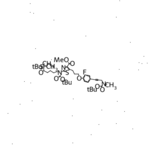 COC(=O)c1nc(N(CCCCC(=O)[Si](C)(C)C(C)(C)C)C(=O)OC(C)(C)C)sc1CCCOc1ccc(C#CCN(C)C(=O)OC(C)(C)C)cc1F